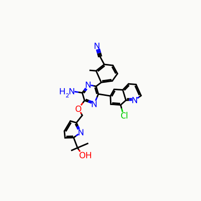 Cc1c(C#N)cccc1-c1nc(N)c(OCc2cccc(C(C)(C)O)n2)nc1-c1cc(Cl)c2ncccc2c1